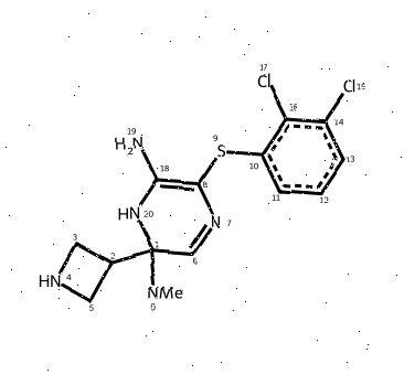 CNC1(C2CNC2)C=NC(Sc2cccc(Cl)c2Cl)=C(N)N1